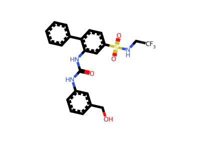 O=C(Nc1cccc(CO)c1)Nc1cc(S(=O)(=O)NCC(F)(F)F)ccc1-c1ccccc1